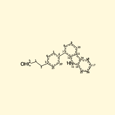 O=CCCc1ccc(-c2cccc3c2[nH]c2ccccc23)cc1